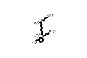 CC(/C=C/C=C/C=C(\C)N(CCCS(=O)(=O)O)c1cccc(CO)c1C)=N/CCCS(=O)(=O)O